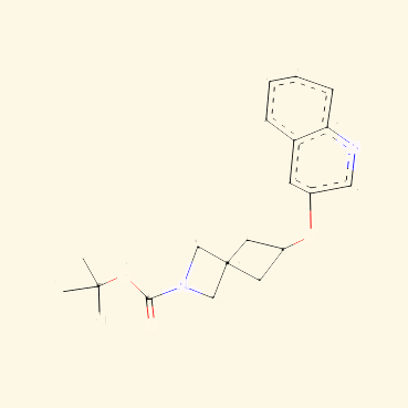 CC(C)(C)OC(=O)N1CC2(CC(Oc3cnc4ccccc4c3)C2)C1